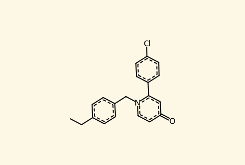 CCc1ccc(Cn2ccc(=O)cc2-c2ccc(Cl)cc2)cc1